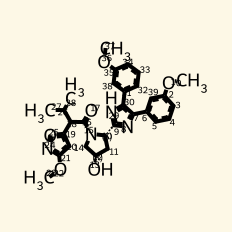 COc1cccc(-c2nc([C@@H]3C[C@@H](O)CN3C(=O)C(c3cc(OC)no3)C(C)C)[nH]c2-c2cccc(OC)c2)c1